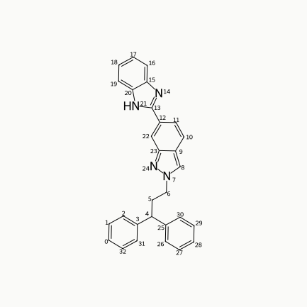 c1ccc(C(CCn2cc3ccc(-c4nc5ccccc5[nH]4)cc3n2)c2ccccc2)cc1